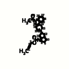 CC#CCOC(=O)N1C2CCC3CC(N4CCC5(CC4)CN(C(C)=O)c4ccccc45)CC321